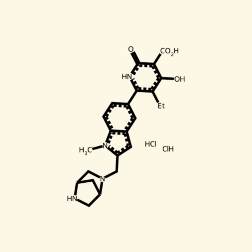 CCc1c(-c2ccc3c(c2)cc(CN2CC4CC2CN4)n3C)[nH]c(=O)c(C(=O)O)c1O.Cl.Cl